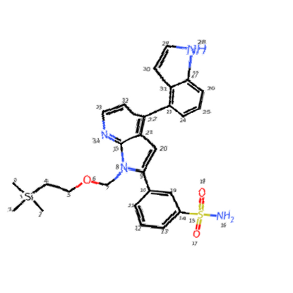 C[Si](C)(C)CCOCn1c(-c2cccc(S(N)(=O)=O)c2)cc2c(-c3cccc4[nH]ccc34)ccnc21